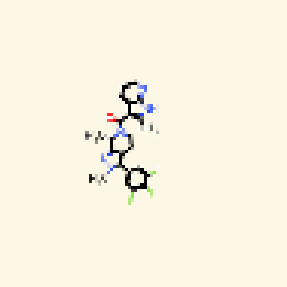 Cc1[nH]c2ncccc2c1C(=O)N1CCc2c(nn(C)c2-c2cc(F)c(F)c(F)c2)[C@@H]1C